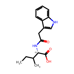 CCC(C)[C@H](NC(=O)Cc1c[nH]c2ccccc12)C(=O)O